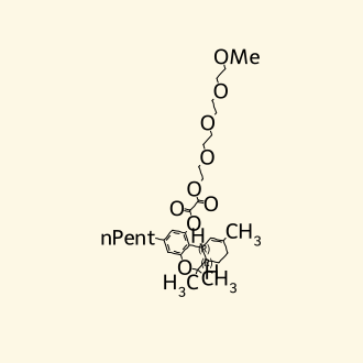 CCCCCc1cc(OC(=O)C(=O)OCCOCCOCCOCCOC)c2c(c1)OC(C)(C)[C@@H]1CCC(C)=C[C@@H]21